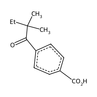 CCC(C)(C)C(=O)c1ccc(C(=O)O)cc1